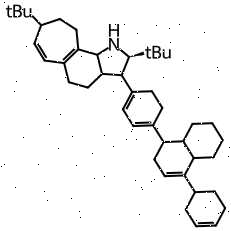 CC(C)(C)C1C=CC2=C(CC1)C1N[C@@H](C(C)(C)C)C(C3=CC=C(C4CC=C(C5CC=CCC5)C5CCCCC45)CC3)C1CC2